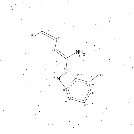 C/C=C\C=C(/N)C1=Nc2nccc(C)c21